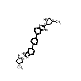 C[C@@H]1CN[C@H](c2nc3ccc(-c4ccc(-c5ccc6nc([C@@H]7C[C@H](C)CN7)[nH]c6c5)cc4)cc3[nH]2)C1